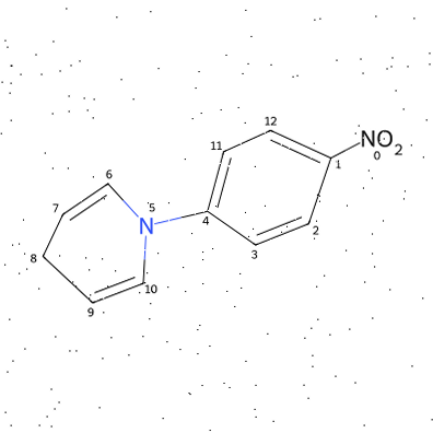 O=[N+]([O-])c1ccc(N2C=CCC=C2)cc1